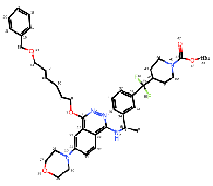 C[C@@H](Nc1nnc(OCCCCCCOCc2ccccc2)c2cc(N3CCOCC3)ccc12)c1cccc(C(F)(F)C2CCN(C(=O)OC(C)(C)C)CC2)c1